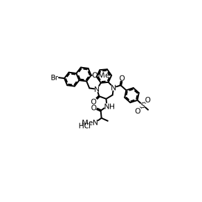 CNC(C)C(=O)NC1CN(C(=O)c2ccc(S(C)(=O)=O)cc2)c2ccccc2N(Cc2c(OC)ccc3cc(Br)ccc23)C1=O.Cl